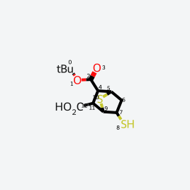 CC(C)(C)OC(=O)C1C2CC(S)C(S2)C1C(=O)O